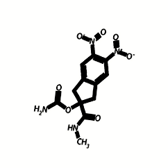 CNC(=O)C1(OC(N)=O)Cc2cc([N+](=O)[O-])c([N+](=O)[O-])cc2C1